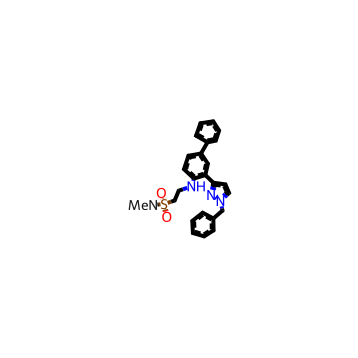 CNS(=O)(=O)CCNc1ccc(-c2ccccc2)cc1-c1ccn(Cc2ccccc2)n1